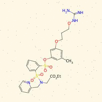 CCOC(=O)CN(Cc1ccccn1)S(=O)(=O)c1ccccc1S(=O)(=O)Oc1cc(C)cc(OCCCONC(=N)N)c1